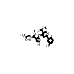 C=C(C)c1cnc(-c2cc(Cl)ccc2F)cc1Nc1n[nH]cc1C(=O)NCC(C)O